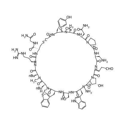 CCCC[C@H]1C(=O)N(C)[C@@H](CCCC)C(=O)N[C@@H](CCCNC(=N)N)C(=O)N[C@H](C(=O)NCC(N)=O)CSCC(=O)N[C@@H](Cc2ccc(O)cc2)C(=O)N(C)[C@@H](C)C(=O)N[C@@H](CC(N)=O)C(=O)N2CCC[C@H]2C(=O)N[C@@H](CN)C(=O)N[C@@H](CCC=O)C(=O)N2C[C@H](O)C[C@H]2C(=O)N(N)[C@@H](Cc2c[nH]c3ccccc23)C(=O)N[C@@H](CO)C(=O)N[C@@H](Cc2csc3ccccc23)C(=O)N1C